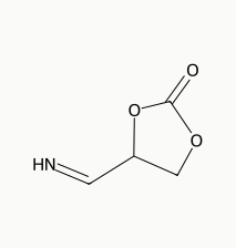 N=CC1COC(=O)O1